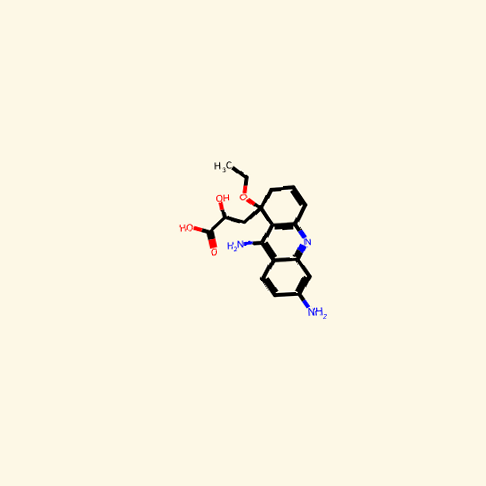 CCOC1(CC(O)C(=O)O)CC=Cc2nc3cc(N)ccc3c(N)c21